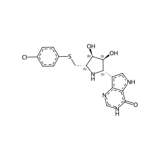 O=c1[nH]cnc2c([C@@H]3N[C@H](CSc4ccc(Cl)cc4)[C@@H](O)[C@H]3O)c[nH]c12